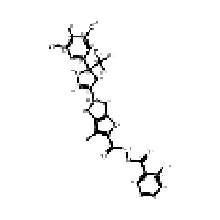 Cc1c(C(=O)NNC(=O)c2ccccc2F)sc2c1CN(C1=NOC(c3cc(Cl)c(F)c(Cl)c3)(C(F)(F)F)C1)C2